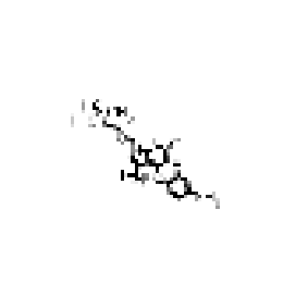 C[Si](C)(C)CCOCn1cc(C(F)(F)F)c2c(Oc3ccc(N)cc3F)cc(Cl)nc21